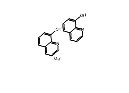 Oc1cccc2cccnc12.Oc1cccc2cccnc12.[Mg]